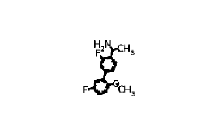 COc1ccc(F)cc1-c1ccc(C(C)N)c(F)c1